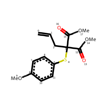 C=CCC(Sc1ccc(OC)cc1)(C(=O)OC)C(=O)OC